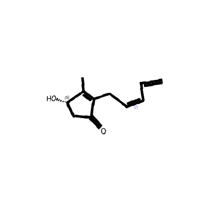 C=C/C=C\CC1=C(C)[C@@H](O)CC1=O